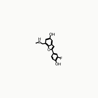 CBCc1cc(O)cc2cc(-c3ccc(O)c(F)c3)oc12